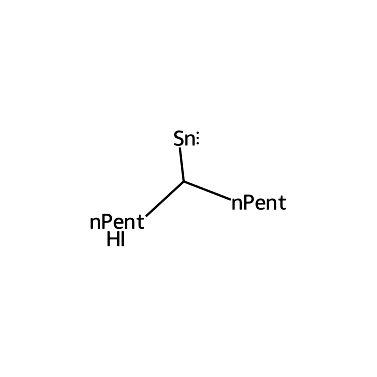 CCCCC[CH]([Sn])CCCCC.I